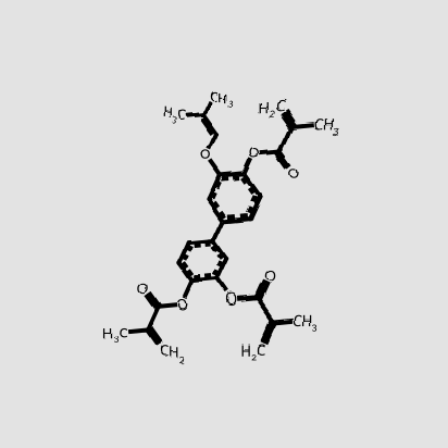 C=C(C)C(=O)Oc1ccc(-c2ccc(OC(=O)C(=C)C)c(OC(=O)C(=C)C)c2)cc1OC=C(C)C